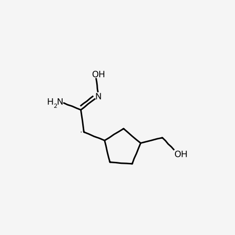 NC([CH]C1CCC(CO)C1)=NO